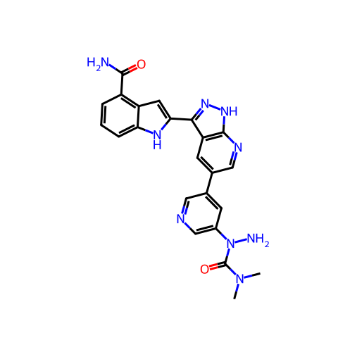 CN(C)C(=O)N(N)c1cncc(-c2cnc3[nH]nc(-c4cc5c(C(N)=O)cccc5[nH]4)c3c2)c1